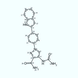 NC(=O)Nc1cn(-c2ccc(-c3cc4ccccc4[nH]3)cc2)nc1C(N)=O